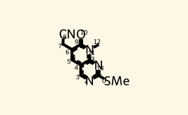 CSc1ncc2cc(CC#N)c(=O)n(C)c2n1